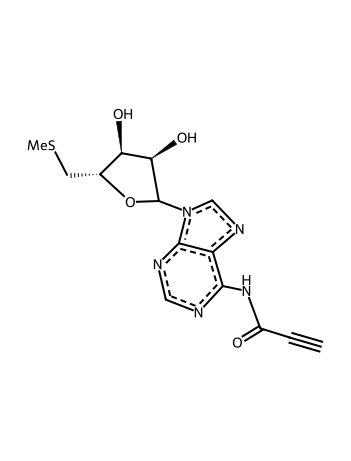 C#CC(=O)Nc1ncnc2c1ncn2C1O[C@H](CSC)[C@@H](O)[C@H]1O